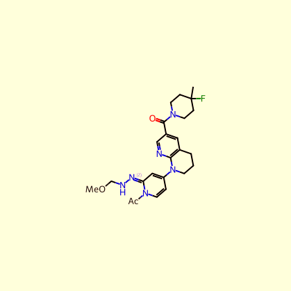 COCN/N=c1/cc(N2CCCc3cc(C(=O)N4CCC(C)(F)CC4)cnc32)ccn1C(C)=O